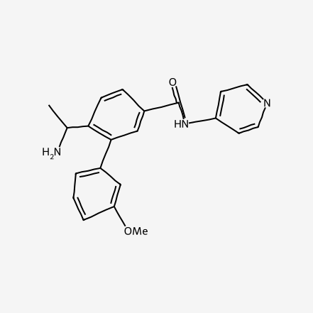 COc1cccc(-c2cc(C(=O)Nc3ccncc3)ccc2C(C)N)c1